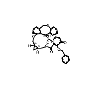 O=C1c2c(OCc3ccccc3)c(=O)ccn2N2CN1C[C@H]1C[C@@H]1COc1cccc3c1[C@@H]2c1ccccc1SC3